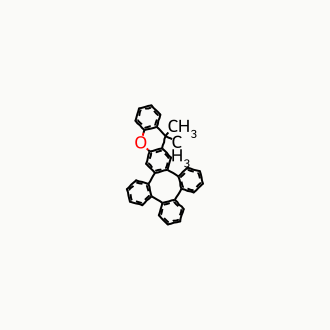 CC1(C)c2ccccc2Oc2cc3c(cc21)-c1ccccc1-c1ccccc1-c1ccccc1-3